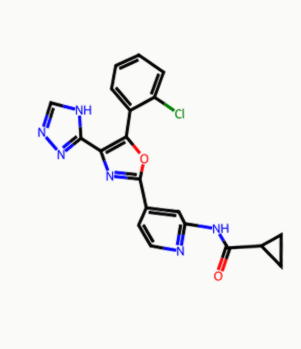 O=C(Nc1cc(-c2nc(-c3nnc[nH]3)c(-c3ccccc3Cl)o2)ccn1)C1CC1